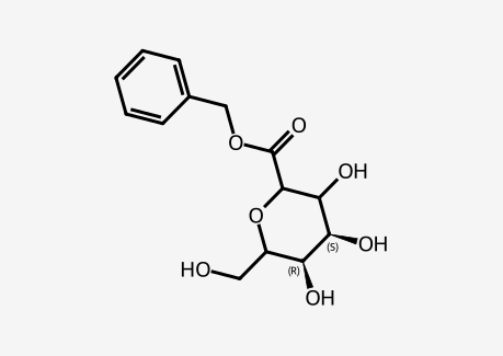 O=C(OCc1ccccc1)C1OC(CO)[C@H](O)[C@H](O)C1O